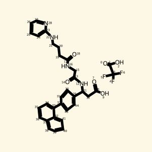 O=C(O)C(F)(F)F.O=C(O)CC(NC(=O)CNC(=O)CCCNc1ccccn1)c1ccc(-c2cccc3ccccc23)cc1